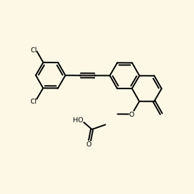 C=C1C=Cc2ccc(C#Cc3cc(Cl)cc(Cl)c3)cc2C1OC.CC(=O)O